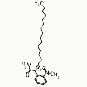 CCCCCCCCCCCCCCCCC(C(N)=O)c1ccccc1N(C)C